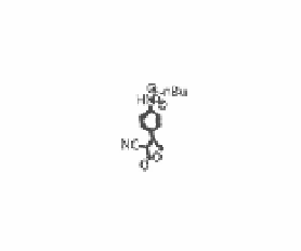 CCCCS(=O)(=O)Nc1ccc(C2COC(=O)C2C#N)cc1